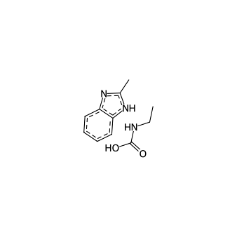 CCNC(=O)O.Cc1nc2ccccc2[nH]1